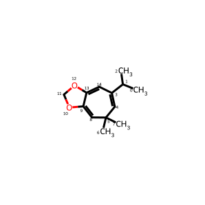 CC(C)C1=CC(C)(C)C=C2OCOC2=C1